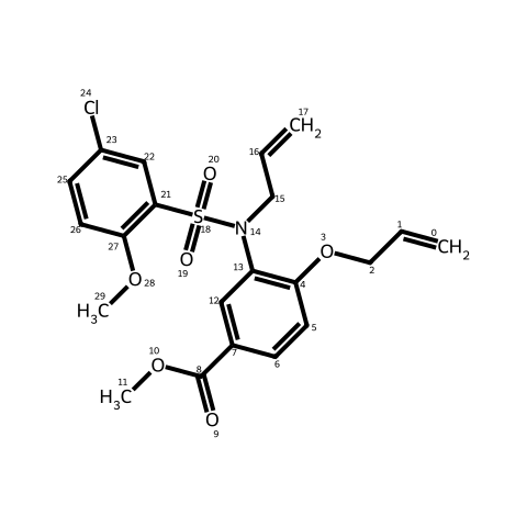 C=CCOc1ccc(C(=O)OC)cc1N(CC=C)S(=O)(=O)c1cc(Cl)ccc1OC